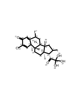 CC1C[C@H]2[C@@H]3CC(F)C4=CC(=O)C(Cl)=C[C@]4(C)[C@@]3(F)CC[C@]2(C)[C@H]1C(=O)C(O)(O)O